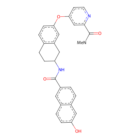 CNC(=O)c1cc(Oc2ccc3c(c2)CC(NC(=O)c2ccc4cc(O)ccc4c2)CC3)ccn1